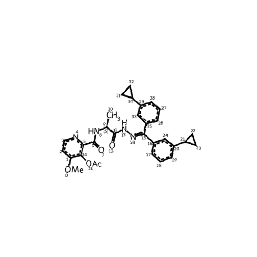 COc1ccnc(C(=O)N[C@@H](C)C(=O)NN=C(c2cccc(C3CC3)c2)c2cccc(C3CC3)c2)c1OC(C)=O